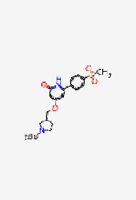 CC(C)(C)N1CCC(COc2cc(-c3ccc(S(C)(=O)=O)cc3)[nH]c(=O)c2)C1